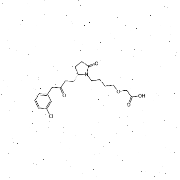 O=C(O)COCCCCN1C(=O)CC[C@H]1CCC(=O)Cc1cccc(Cl)c1